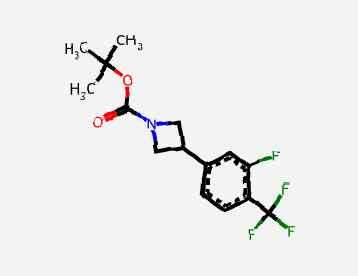 CC(C)(C)OC(=O)N1CC(c2ccc(C(F)(F)F)c(F)c2)C1